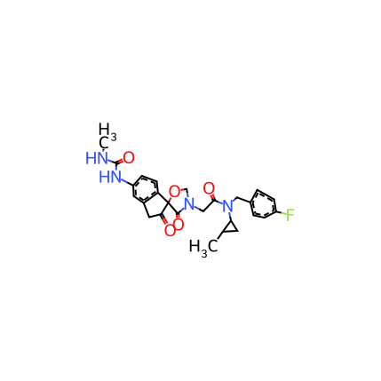 CNC(=O)Nc1ccc2c(c1)CC(=O)C21OCN(CC(=O)N(Cc2ccc(F)cc2)C2CC2C)C1=O